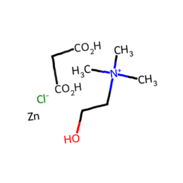 C[N+](C)(C)CCO.O=C(O)CC(=O)O.[Cl-].[Zn]